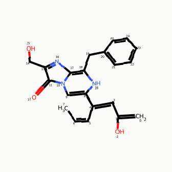 C=C(O)/C=C(\C=C/C)c1cn2c(=O)c(CO)nc-2c(Cc2ccccc2)[nH]1